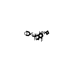 Fc1cc(NC2CCC2)cc2nc(CSC3CCOCC3)ncc12